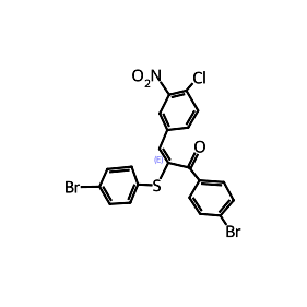 O=C(/C(=C\c1ccc(Cl)c([N+](=O)[O-])c1)Sc1ccc(Br)cc1)c1ccc(Br)cc1